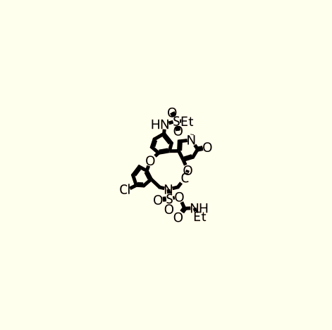 CCNC(=O)OS(=O)(=O)N1CCOc2cc(=O)n(C)cc2-c2cc(NS(=O)(=O)CC)ccc2Oc2ccc(Cl)cc2C1